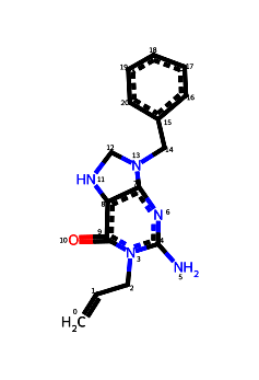 C=CCn1c(N)nc2c(c1=O)NCN2Cc1ccccc1